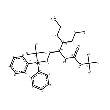 CCC[C@H](CCO)[C@H](CO[Si](c1ccccc1)(c1ccccc1)C(C)(C)C)NC(=O)OC(C)(C)C